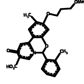 COCCCOc1cc2c(cc1C)-c1cc(=O)c(C(=O)O)cn1C(c1ccccc1C)O2